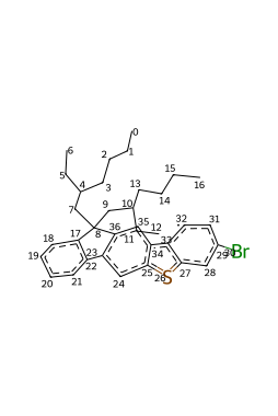 CCCCC(CC)CC1(CC(CC)CCCC)c2ccccc2-c2cc3sc4cc(Br)c[c]c4c3cc21